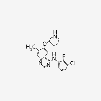 Cc1cc2ncnc(Nc3cccc(Cl)c3F)c2cc1O[C@@H]1CCCNC1